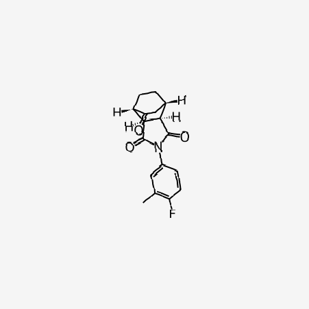 Cc1cc(N2C(=O)[C@@H]3[C@H]4CC[C@H](C(=O)C4)[C@@H]3C2=O)ccc1F